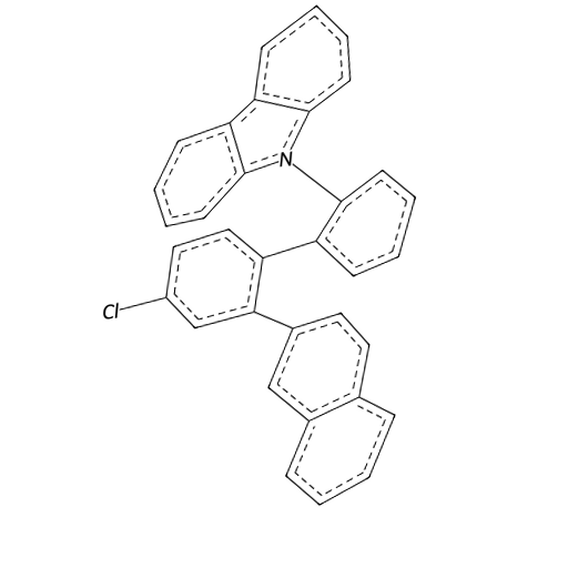 Clc1ccc(-c2ccccc2-n2c3ccccc3c3ccccc32)c(-c2ccc3ccccc3c2)c1